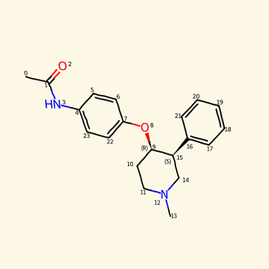 CC(=O)Nc1ccc(O[C@@H]2CCN(C)C[C@@H]2c2ccccc2)cc1